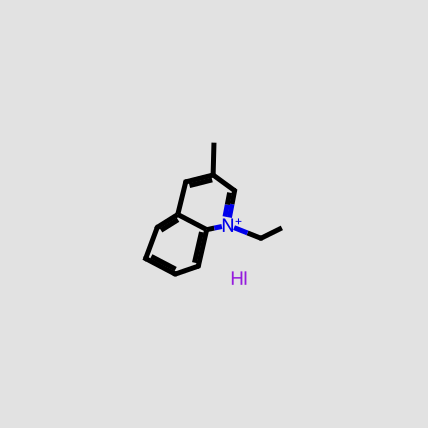 CC[n+]1cc(C)cc2ccccc21.I